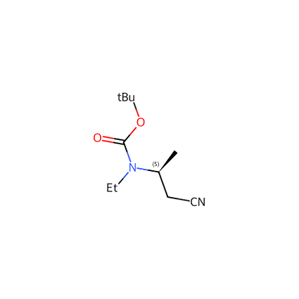 CCN(C(=O)OC(C)(C)C)[C@@H](C)CC#N